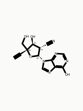 C#C[C@]1(CO)O[C@@H](n2cnc3c(O)ncnc32)[C@@H](C#N)[C@@H]1O